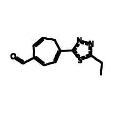 CCc1nnc(C2=CC=C(C=O)C=CC2)s1